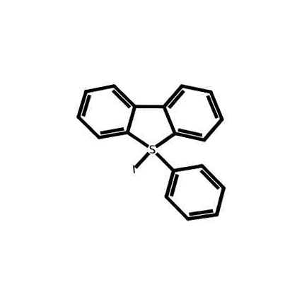 IS1(c2ccccc2)c2ccccc2-c2ccccc21